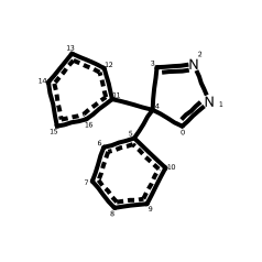 C1=NN=CC1(c1ccccc1)c1ccccc1